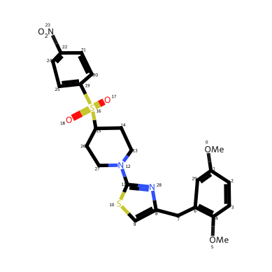 COc1ccc(OC)c(Cc2csc(N3CCC(S(=O)(=O)c4ccc([N+](=O)[O-])cc4)CC3)n2)c1